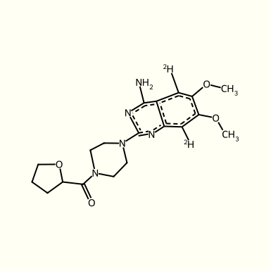 [2H]c1c(OC)c(OC)c([2H])c2c(N)nc(N3CCN(C(=O)C4CCCO4)CC3)nc12